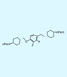 CCCCC[C@H]1CC[C@H](CCc2ccc(OC[C@H]3CC[C@H](CCCCC)CC3)c(F)c2F)CC1